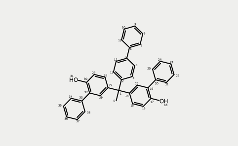 CC(c1ccc(-c2ccccc2)cc1)(c1ccc(O)c(-c2ccccc2)c1)c1ccc(O)c(-c2ccccc2)c1